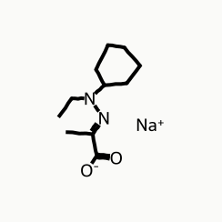 CCN(N=C(C)C(=O)[O-])C1CCCCC1.[Na+]